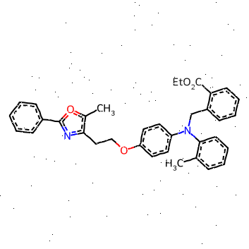 CCOC(=O)c1ccccc1CN(c1ccc(OCCc2nc(-c3ccccc3)oc2C)cc1)c1ccccc1C